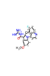 COc1ccc2c(c1)c(C(=O)NC(=N)N)c(C)n2-c1ccnc2ccc(F)cc12